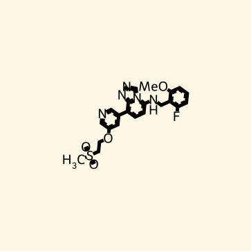 COc1cccc(F)c1CNc1ccc(-c2cncc(OCCS(C)(=O)=O)c2)c2nncn12